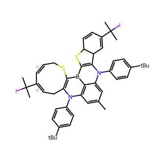 Cc1cc2c3c(c1)N(c1ccc(C(C)(C)C)cc1)C1=C(SC4C=CC(C(C)(C)I)=CC14)B3C1=C(C/C=C(C(C)(C)I)\C=C/CS1)N2c1ccc(C(C)(C)C)cc1